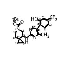 Cc1nc(NC2CN(C(=O)OC(C)(C)C)CCC23CC3)nnc1-c1ccc(C(F)(F)F)cc1O